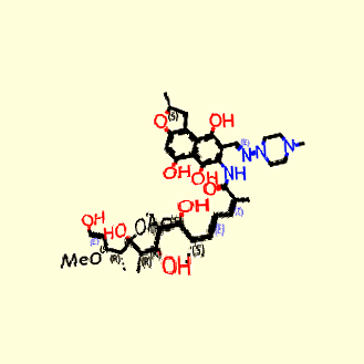 CO[C@@H](/C=C/O)[C@@H](C)[C@@](O)(OC(C)=O)[C@H](C)[C@H](O)[C@H](C)[C@@H](O)[C@@H](C)/C=C/C=C(/C)C(=O)Nc1c(/C=N/N2CCN(C)CC2)c(O)c2c3c(cc(O)c2c1O)O[C@@H](C)C3